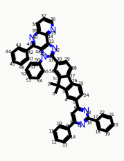 CC1(C)c2cc(-c3cc(-c4ccccc4)nc(-c4ccccc4)n3)ccc2-c2ccc(-c3nc4c5ncccc5nc(-c5ccccc5)c4n3-c3ccccc3)cc21